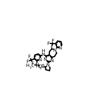 CC1CCCN1c1nc2c(c(Nc3ccc(C(F)(F)F)c(N(C)C)n3)n1)CCN(c1ncccc1C(F)(F)F)CC2